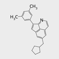 Cc1cc(C)cc(C2=Cc3cc(CC4CCCC4)cc4ccnc2c34)c1